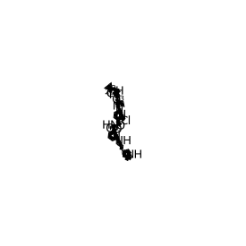 [2H]C([2H])(COc1ccn(-c2ccc(C(=O)NS(=O)(=O)c3cccc(NCCC[C@@H]4CNC(C)(C)C4)n3)c(Cl)n2)n1)CC1(C(F)(F)F)CC1